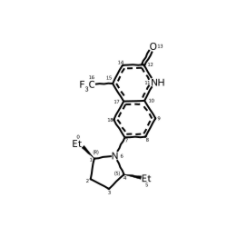 CC[C@@H]1CC[C@H](CC)N1c1ccc2[nH]c(=O)cc(C(F)(F)F)c2c1